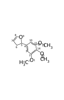 COc1cc(C2CC=CO2)cc(OC)c1OC